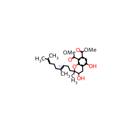 COC(=O)c1cc(O)c2c(c1C(=O)OC)OC(C)(CC/C=C(\C)CCC=C(C)C)C(O)C2